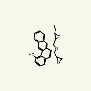 C(OCC1CO1)C1CO1.CC.Oc1cccc2ccc3cc4ccccc4cc3c12